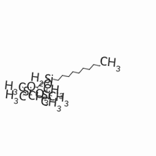 CCCCCCCCCC[SiH2]OCC(O[Si](C)(C)C)O[Si](C)(C)C